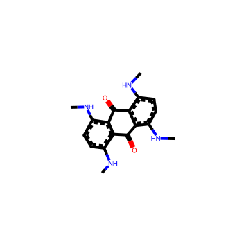 CNc1ccc(NC)c2c1C(=O)c1c(NC)ccc(NC)c1C2=O